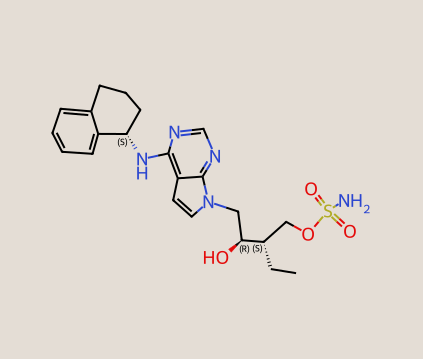 CC[C@@H](COS(N)(=O)=O)[C@@H](O)Cn1ccc2c(N[C@H]3CCCc4ccccc43)ncnc21